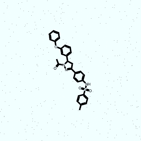 CC(=O)N1N=C(c2ccc(NS(=O)(=O)c3ccc(C)cc3)cc2)CC1c1cccc(Oc2ccccc2)c1